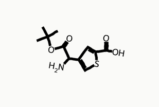 CC(C)(C)OC(=O)C(N)c1csc(C(=O)O)c1